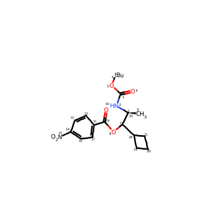 C[C@H](NC(=O)OC(C)(C)C)C(OC(=O)c1ccc([N+](=O)[O-])cc1)C1CCC1